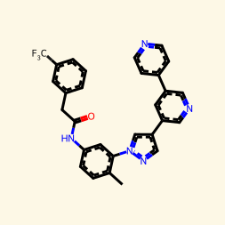 Cc1ccc(NC(=O)Cc2cccc(C(F)(F)F)c2)cc1-n1cc(-c2cncc(-c3ccncc3)c2)cn1